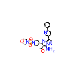 CC(=O)c1c(C2CCN(S(=O)(=O)N3CCOCC3)CC2)nc2c(-c3ccc(-c4ccccc4)nc3)cnn2c1N